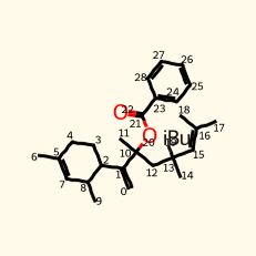 C=C(C1CCC(C)=CC1C)C(C)(CC(C)(C=C(C)C)C(C)CC)OC(=O)c1ccccc1